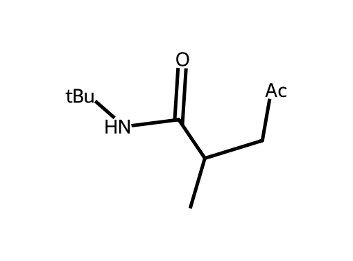 CC(=O)CC(C)C(=O)NC(C)(C)C